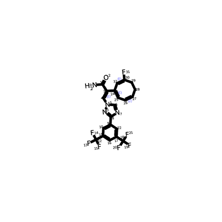 NC(=O)C(=C/n1cnc(-c2cc(C(F)(F)F)cc(C(F)(F)F)c2)n1)/C1=C/C=C\CC/C(F)=C\1